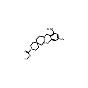 COc1cc(Br)cc(OC)c1CN1CCC2(CC1)CCN(C(=O)OC(C)(C)C)CC2